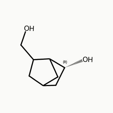 OCC1CC2CC1[C@H](O)C2